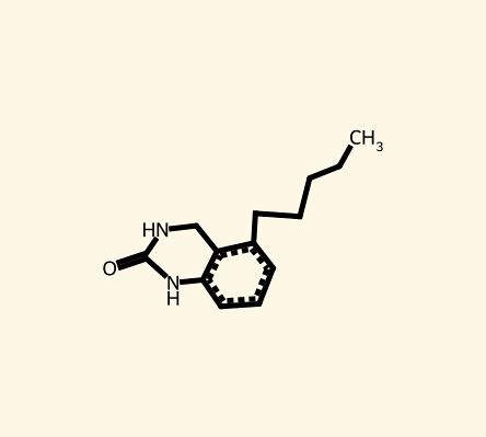 CCCCCc1cccc2c1CNC(=O)N2